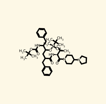 CC(C)[C@H](NC(=O)C(Cc1ccccc1)CC(O[Si](C)(C)C(C)(C)C)C(Cc1ccccc1)NC(=O)OC(C)(C)C)C(=O)N1CCC(N2CCCC2)CC1